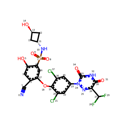 N#Cc1cc(O)c(S(=O)(=O)N[C@H]2C[C@H](O)C2)cc1Oc1c(Cl)cc(-n2nc(C(F)F)c(=O)[nH]c2=O)cc1Cl